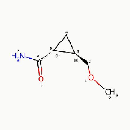 COC[C@@H]1C[C@H]1C(N)=O